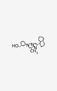 CC1=CN(c2cccc(CO)c2)C[N+]2C=C(c3cccc4ccccc34)N=C12